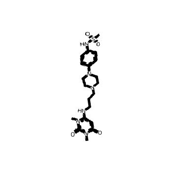 Cn1c(NCCCN2CCN(c3ccc(NS(C)(=O)=O)cc3)CC2)cc(=O)n(C)c1=O